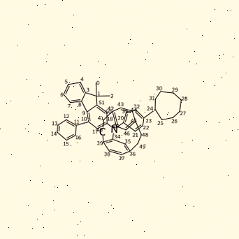 CC1(C)c2ccccc2-c2c(-c3ccccc3)cc(N(c3ccc(C4CCCCCCC4)cc3)c3cc4ccc3CCc3ccc(cc3)CC4)cc21